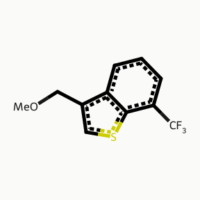 COCc1csc2c(C(F)(F)F)cccc12